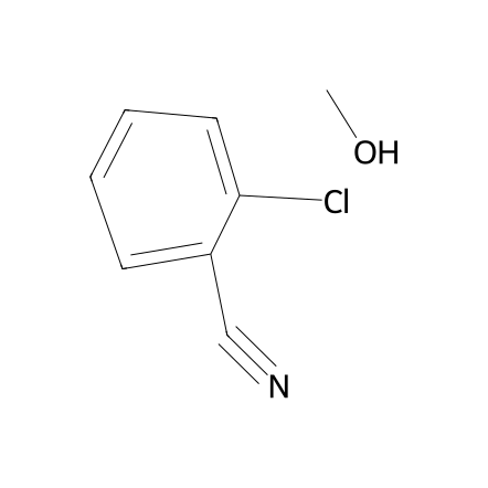 CO.N#Cc1ccccc1Cl